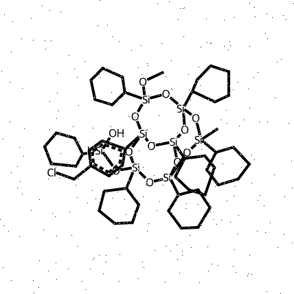 CO[Si]1(C2CCCCC2)O[Si]2(c3ccc(CCl)cc3)O[Si](O[SiH](O)C3CCCCC3)(C3CCCCC3)O[Si]3(C4CCCCC4)O[Si](C)(C4CCCCC4)O[Si](C4CCCCC4)(O1)O[Si](C1CCCCC1)(O2)O3